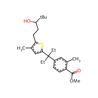 CCC(CC)(c1ccc(C(=O)OC)c(C)c1)c1cc(C)c(CCC(O)C(C)(C)C)s1